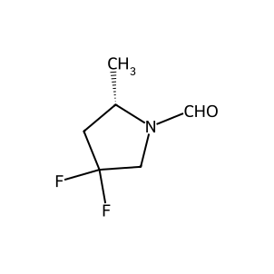 C[C@H]1CC(F)(F)CN1C=O